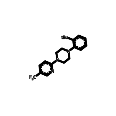 CC(C)(C)c1ccccc1N1CCN(c2ccc(C(F)(F)F)cn2)CC1